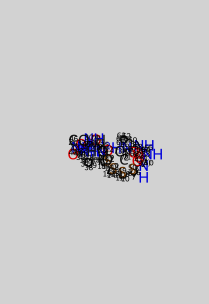 C[C@H](NC(=O)c1ccc(-c2ccc(-c3ccc(-c4ccc(C(=O)N[C@H](C)C(=O)N[C@H](N)C(=O)N[C@H](Cc5ccccc5)C(=O)NCC(=O)O)s4)s3)s2)s1)C(=O)N[C@@H](C)C(=O)N[C@@H](Cc1ccccc1)C(=O)N[C@@H](CC(=O)O)C(=O)O